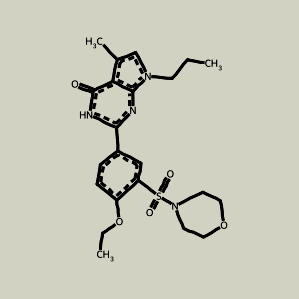 CCCn1cc(C)c2c(=O)[nH]c(-c3ccc(OCC)c(S(=O)(=O)N4CCOCC4)c3)nc21